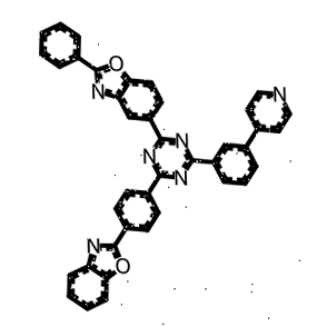 c1ccc(-c2nc3cc(-c4nc(-c5ccc(-c6nc7ccccc7o6)cc5)nc(-c5cccc(-c6ccncc6)c5)n4)ccc3o2)cc1